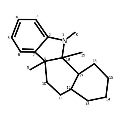 CN1c2ccccc2C2(C)CCC3CCCCC3C12C